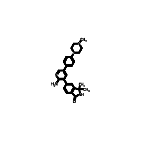 CN1CCN(c2ccc(-c3cnc(N)c(-c4ccc5c(c4)C(C)(C)NC5=O)c3)cc2)CC1